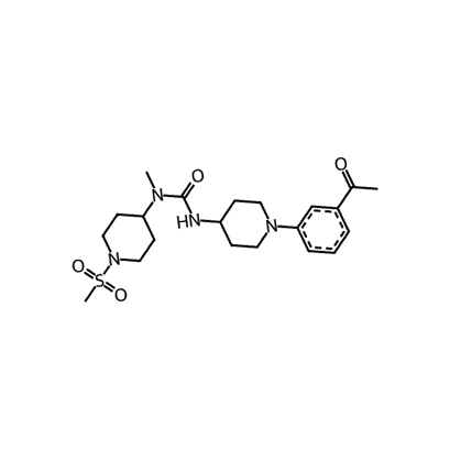 CC(=O)c1cccc(N2CCC(NC(=O)N(C)C3CCN(S(C)(=O)=O)CC3)CC2)c1